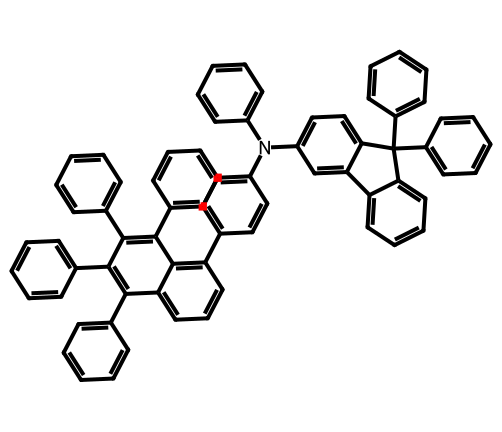 c1ccc(-c2c(-c3ccccc3)c(-c3ccccc3)c3c(-c4ccc(N(c5ccccc5)c5ccc6c(c5)-c5ccccc5C6(c5ccccc5)c5ccccc5)cc4)cccc3c2-c2ccccc2)cc1